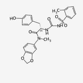 Cc1ccccc1S(=O)(=O)NC(=O)N[C@@H](Cc1ccc(O)cc1)C(=O)N(C)c1ccc2c(c1)OCO2